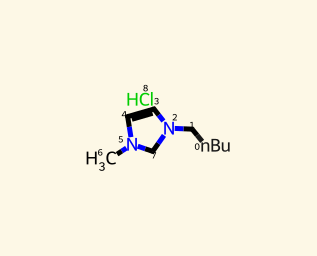 CCCCCN1C=CN(C)C1.Cl